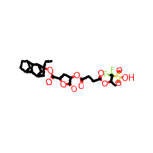 CCC1(OC(=O)C2CC(OC(=O)CCC(=O)OC(C)C(F)(F)S(=O)(=O)O)C(=O)O2)CC2CC1C1C3CCC(C3)C21